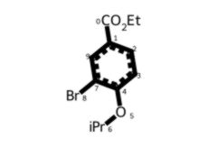 CCOC(=O)c1ccc(OC(C)C)c(Br)c1